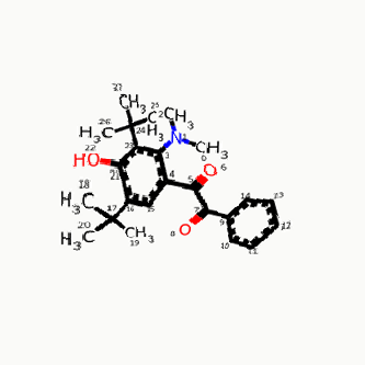 CN(C)c1c(C(=O)C(=O)c2ccccc2)cc(C(C)(C)C)c(O)c1C(C)(C)C